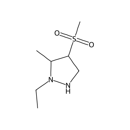 CCN1NCC(S(C)(=O)=O)C1C